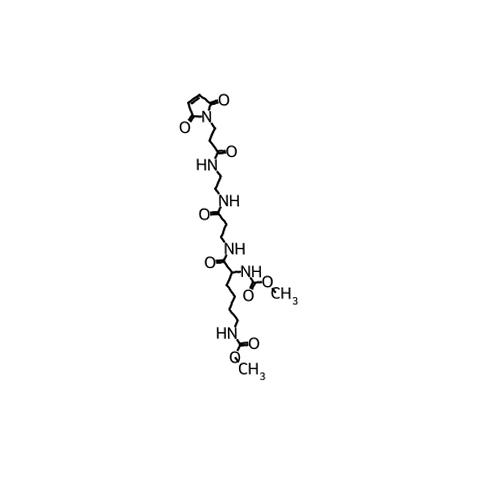 COC(=O)NCCCCC(NC(=O)OC)C(=O)NCCC(=O)NCCNC(=O)CCN1C(=O)C=CC1=O